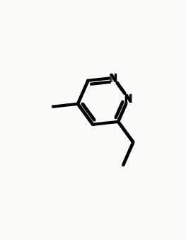 CCc1cc(C)cnn1